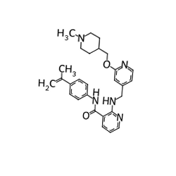 C=C(C)c1ccc(NC(=O)c2cccnc2NCc2ccnc(OCC3CCN(C)CC3)c2)cc1